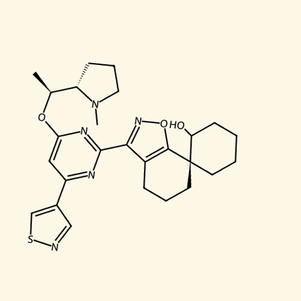 C[C@H](Oc1cc(-c2cnsc2)nc(-c2noc3c2CCC[C@@]32CCCCC2O)n1)[C@@H]1CCCN1C